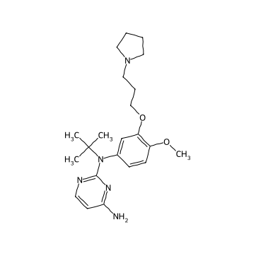 COc1ccc(N(c2nccc(N)n2)C(C)(C)C)cc1OCCCN1CCCC1